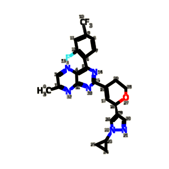 Cc1cnc2c(-c3ccc(C(F)(F)F)cc3F)nc(C3=C[C@H](c4cnn(C5CC5)c4)OCC3)nc2n1